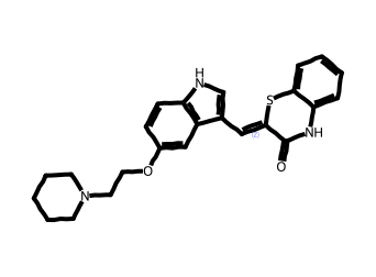 O=C1Nc2ccccc2S/C1=C\c1c[nH]c2ccc(OCCN3CCCCC3)cc12